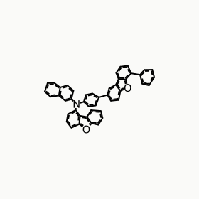 c1ccc(-c2cccc3c2oc2ccc(-c4ccc(N(c5ccc6ccccc6c5)c5cccc6oc7ccccc7c56)cc4)cc23)cc1